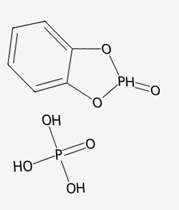 O=P(O)(O)O.O=[PH]1Oc2ccccc2O1